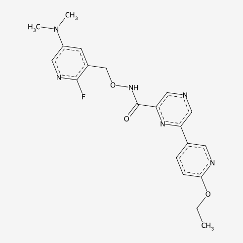 CCOc1ccc(-c2cncc(C(=O)NOCc3cc(N(C)C)cnc3F)n2)cn1